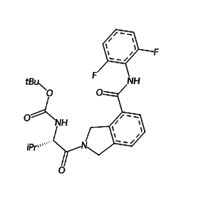 CC(C)[C@H](NC(=O)OC(C)(C)C)C(=O)N1Cc2cccc(C(=O)Nc3c(F)cccc3F)c2C1